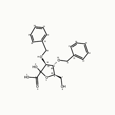 O=C(O)C1(O)O[C@H](CO)[C@@H](OCc2ccccc2)[C@@H]1OCc1ccccc1